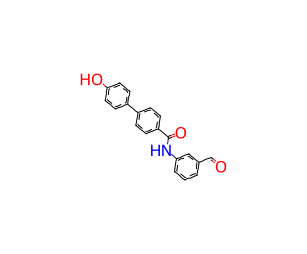 O=Cc1cccc(NC(=O)c2ccc(-c3ccc(O)cc3)cc2)c1